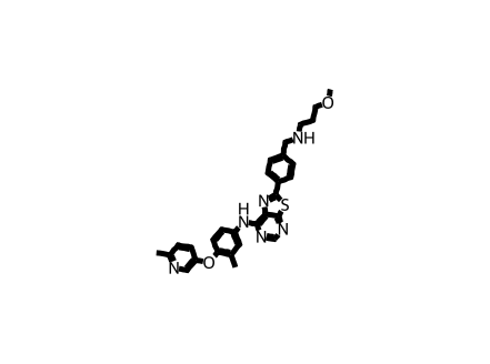 COCCCNCc1ccc(-c2nc3c(Nc4ccc(Oc5ccc(C)nc5)c(C)c4)ncnc3s2)cc1